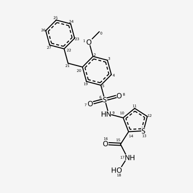 COc1ccc(S(=O)(=O)Nc2ccsc2C(=O)NO)cc1Cc1ccccc1